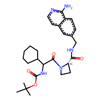 CC(C)(C)OC(=O)NC(C(=O)N1CC[C@H]1C(=O)NCc1ccc2c(N)nccc2c1)C1CCCCC1